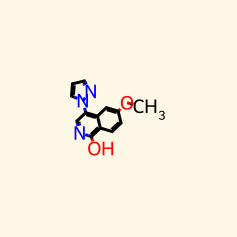 COc1ccc2c(O)ncc(-n3cccn3)c2c1